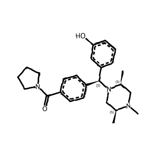 C[C@H]1CN([C@@H](c2ccc(C(=O)N3CCCC3)cc2)c2cccc(O)c2)[C@@H](C)CN1C